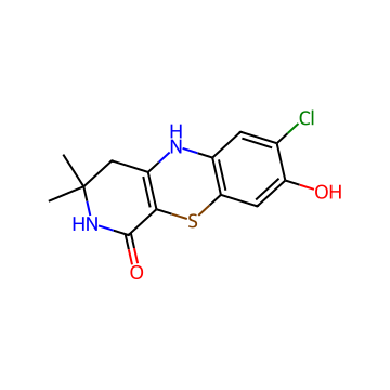 CC1(C)CC2=C(Sc3cc(O)c(Cl)cc3N2)C(=O)N1